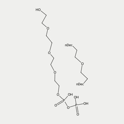 CCCCCCCCCCCCOCCCCCCCCCCCC.O=P(O)(O)OP(=O)(O)OCCOCCOCCOCCO